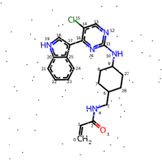 C=CC(=O)NCC1CCC(Nc2ncc(Cl)c(-c3c[nH]c4ccccc34)n2)CC1